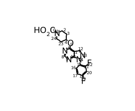 O=C(O)N1CCC(Oc2ncnc3c2cnn3-c2ccc(F)cc2F)CC1